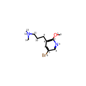 COc1ncc(Br)cc1CCCN(C)C